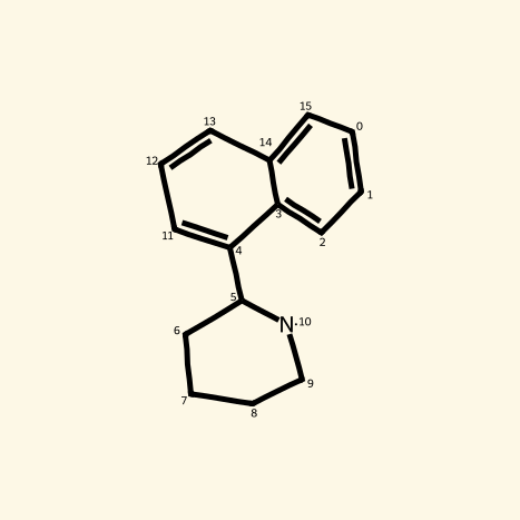 c1ccc2c(C3CCCC[N]3)cccc2c1